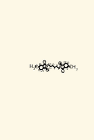 CC1=CC2C(=O)N(CCCCCCN3C(=O)C4C=C(C)CCC4C3=O)C(=O)C2CC1